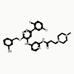 CN1CCN(CCC(=O)Nc2cc(Nc3cc(-c4cc(Cl)ccc4F)nnc3OCc3cccc(O)c3)ccn2)CC1